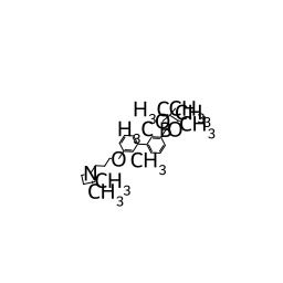 Cc1c(OCCCN2CCC2(C)C)cccc1-c1cccc(B2OC(C)(C)C(C)(C)O2)c1C